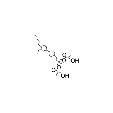 C=C(CO)C(=O)OCC(CC)(CCC1CCC(c2ccc(CCCCC)c(CC)c2)CC1)COC(=O)C(=C)CO